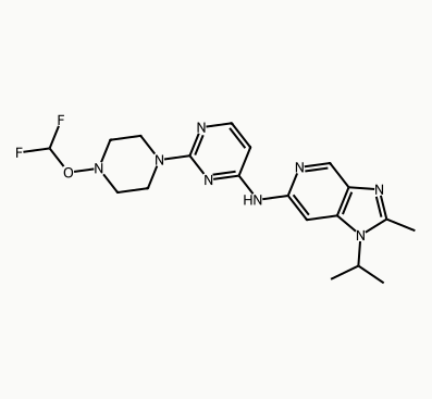 Cc1nc2cnc(Nc3ccnc(N4CCN(OC(F)F)CC4)n3)cc2n1C(C)C